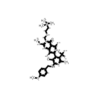 COc1ccc(CNc2nc(C)c(C(F)(F)F)c(-c3nc(F)c4c(=O)n(COCC[Si](C)(C)C)c(SC)nc4c3F)c2Cl)cc1